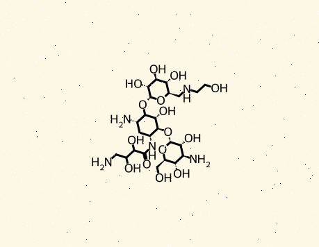 NCC(O)C(O)C(=O)N[C@@H]1C[C@H](N)C(O[C@H]2O[C@H](CNCCO)[C@@H](O)[C@H](O)[C@H]2O)[C@H](O)[C@H]1O[C@H]1O[C@H](CO)[C@@H](O)[C@H](N)[C@H]1O